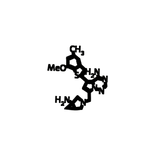 COc1cc(C)cc2cc(-c3cc(CN4CC5CC5(N)C4)n4ncnc(N)c34)sc12